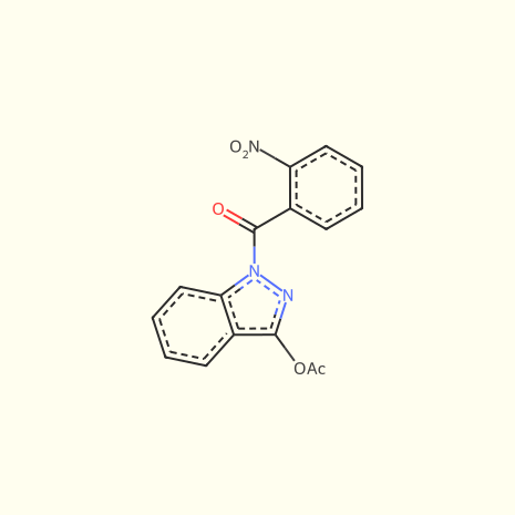 CC(=O)Oc1nn(C(=O)c2ccccc2[N+](=O)[O-])c2ccccc12